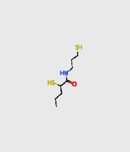 CCCC(S)C(=O)NCCCS